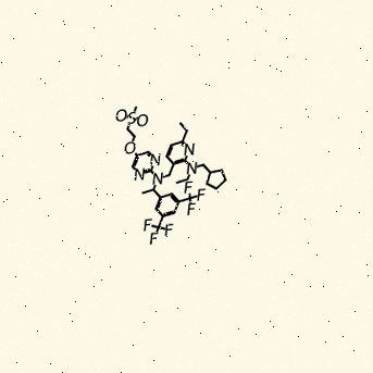 CCc1ccc(CN(c2ncc(OCCS(C)(=O)=O)cn2)C(C)c2cc(C(F)(F)F)cc(C(F)(F)F)c2)c(N(CC)CC2CCCC2)n1